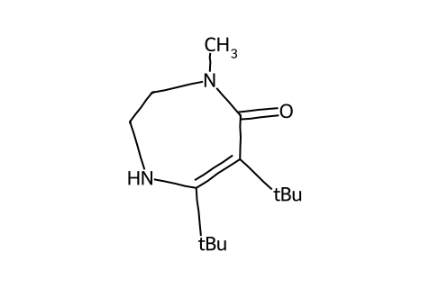 CN1CCNC(C(C)(C)C)=C(C(C)(C)C)C1=O